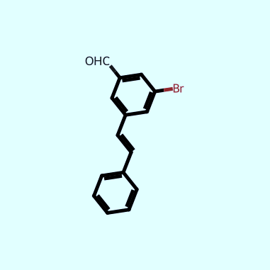 O=Cc1cc(Br)cc(/C=C/c2ccccc2)c1